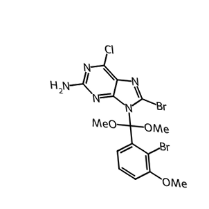 COc1cccc(C(OC)(OC)n2c(Br)nc3c(Cl)nc(N)nc32)c1Br